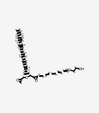 C(OCC1CO1)C1CO1.C=C.C=C.C=C.C=C.C=C.C=C.C=C.C=C.C=C.C=C.C=C.C=C.C=C.C=C.C=C.C=C.C=C.C=C.C=C.C=C.C=C.C=C.C=C.C=C.OCCO